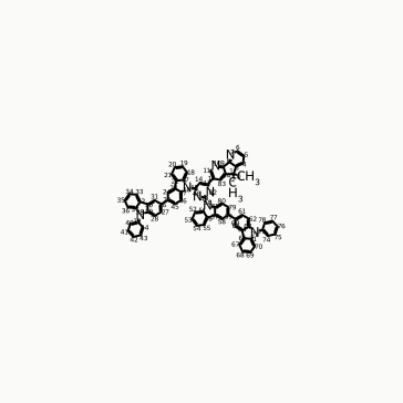 CC1(C)c2cccnc2-c2ncc(-c3cc(-n4c5ccccc5c5cc(-c6ccc7c(c6)c6ccccc6n7-c6ccccc6)ccc54)nc(-n4c5ccccc5c5cc(-c6ccc7c(c6)c6ccccc6n7-c6ccccc6)ccc54)n3)cc21